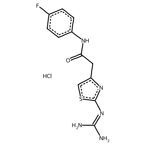 Cl.NC(N)=Nc1nc(CC(=O)Nc2ccc(F)cc2)cs1